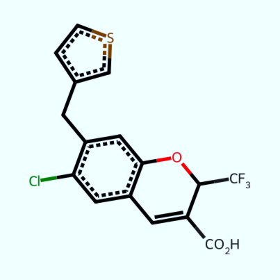 O=C(O)C1=Cc2cc(Cl)c(Cc3ccsc3)cc2OC1C(F)(F)F